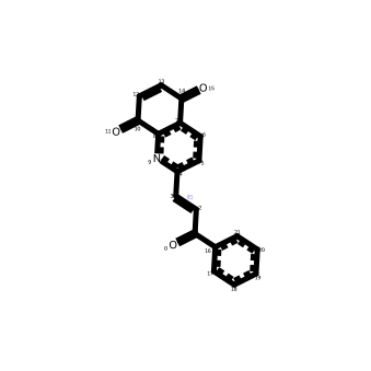 O=C(/C=C/c1ccc2c(n1)C(=O)C=CC2=O)c1ccccc1